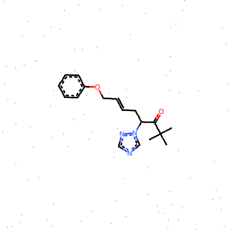 CC(C)(C)C(=O)C(C/C=C/COc1ccccc1)n1cncn1